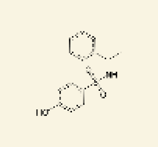 CC(NS(=O)(=O)c1ccc(O)cc1)c1ccccc1